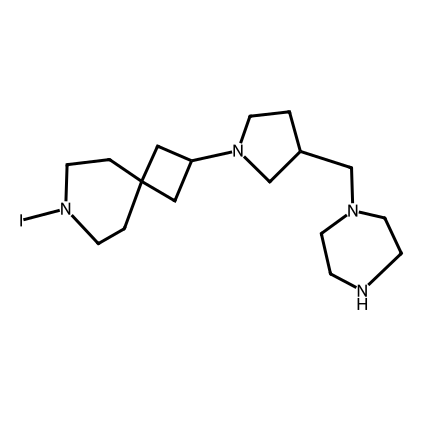 IN1CCC2(CC1)CC(N1CCC(CN3CCNCC3)C1)C2